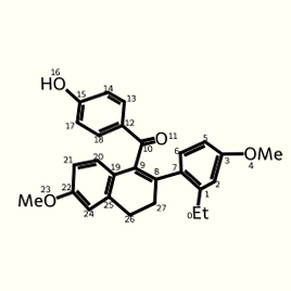 CCc1cc(OC)ccc1C1=C(C(=O)c2ccc(O)cc2)c2ccc(OC)cc2CC1